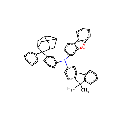 CC1(C)c2ccccc2-c2cc(N(c3ccc4c(c3)C3(c5ccccc5-4)C4CC5CC(C4)CC3C5)c3ccc4c(c3)oc3ccccc34)ccc21